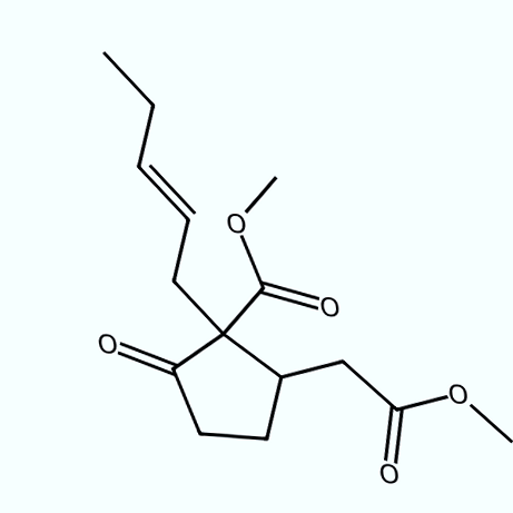 CC/C=C/CC1(C(=O)OC)C(=O)CCC1CC(=O)OC